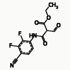 CCOC(=O)C(C=O)C(=O)Nc1ccc(C#N)c(F)c1F